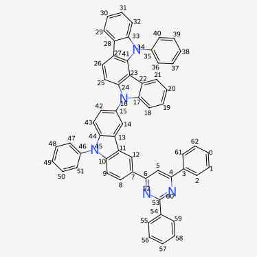 c1ccc(-c2cc(-c3ccc4c(c3)c3cc(-n5c6ccccc6c6c5ccc5c7ccccc7n(-c7ccccc7)c56)ccc3n4-c3ccccc3)nc(-c3ccccc3)n2)cc1